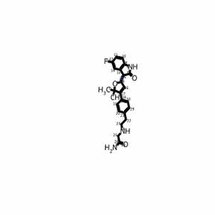 CC1(C)O/C(=C2/C(=O)Nc3ccc(F)cc32)C=C1c1ccc(CCNCC(N)=O)cc1